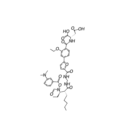 CCCCC[C@@H](C(=O)NCNC(=O)c1ccc(-c2ccc(C(=O)N[C@@H](CC(=O)O)C(=O)O)c(OCC)c2)o1)[C@@H](CC)N(C=O)OC(=O)c1cccc(N(C)C)c1